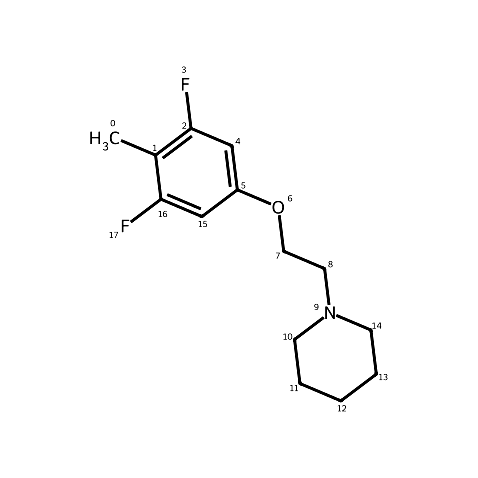 Cc1c(F)cc(OCCN2CCCCC2)cc1F